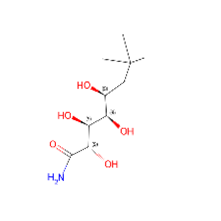 CC(C)(C)C[C@H](O)[C@@H](O)[C@H](O)[C@H](O)C(N)=O